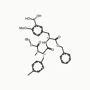 COc1ccc(C[C@H](NC(=O)[C@H](Cc2ccc(C)cc2)N(C)C(=O)OC(C)(C)C)C(=O)OCc2ccccc2)cc1B(O)O